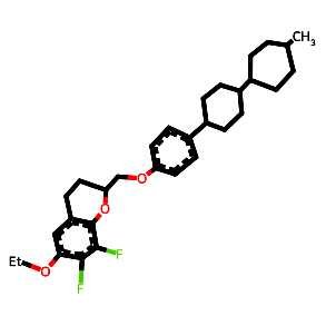 CCOc1cc2c(c(F)c1F)OC(COc1ccc(C3CCC(C4CCC(C)CC4)CC3)cc1)CC2